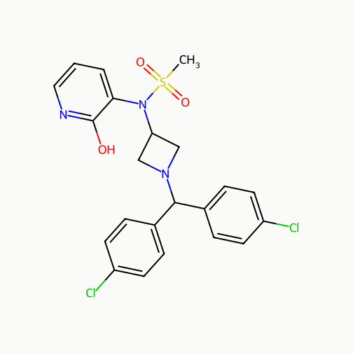 CS(=O)(=O)N(c1cccnc1O)C1CN(C(c2ccc(Cl)cc2)c2ccc(Cl)cc2)C1